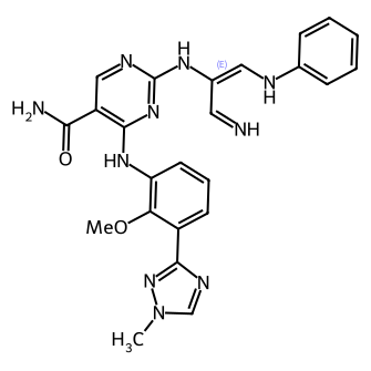 COc1c(Nc2nc(N/C(C=N)=C/Nc3ccccc3)ncc2C(N)=O)cccc1-c1ncn(C)n1